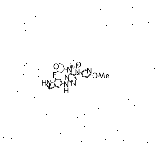 COc1ccc(N2C(=O)[C@@H](C)N(C3CCOCC3)c3nc(Nc4cc(F)c5[nH]ncc5c4)ncc32)cn1